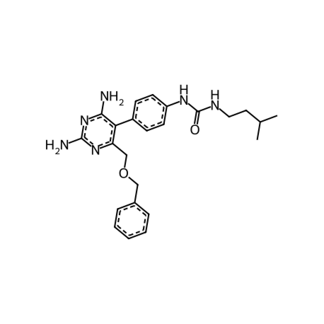 CC(C)CCNC(=O)Nc1ccc(-c2c(N)nc(N)nc2COCc2ccccc2)cc1